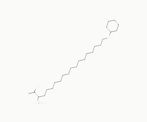 O=[C]C(CCCCCCCCCCCCCCCCOC1CC[CH]CC1)C(Cl)Cl